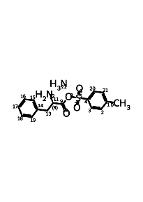 Cc1ccc(S(=O)(=O)OC(=O)[C@H](N)Cc2ccccc2)cc1.N